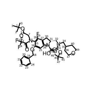 CC(C)(C)OC(=O)CN(C(=O)C(F)(F)F)c1c(OCc2ccccc2)cc2c(c1F)C[C@H](CN(CC1CCOCC1)C(=O)OC(C)(C)C)N2C(=O)O